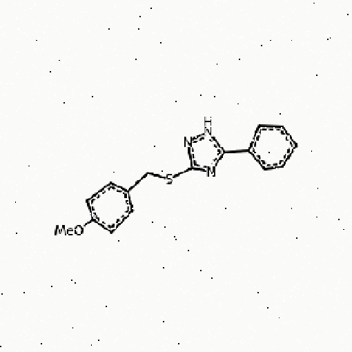 COc1ccc(CSc2n[nH]c(-c3ccccc3)n2)cc1